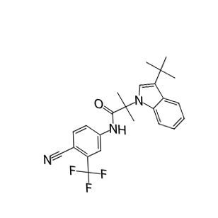 CC(C)(C)c1cn(C(C)(C)C(=O)Nc2ccc(C#N)c(C(F)(F)F)c2)c2ccccc12